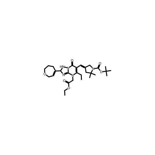 CCOC(=O)CN1C2=NC(C3=CCOCCC3)NN2C(=O)C(/C=C2/CN(C(=O)OC(C)(C)C)C(C)(C)C2)=C1CC